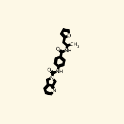 CC(Cc1ccco1)NC(=O)c1ccc(NC(=O)N2Cc3cccnc3C2)cc1